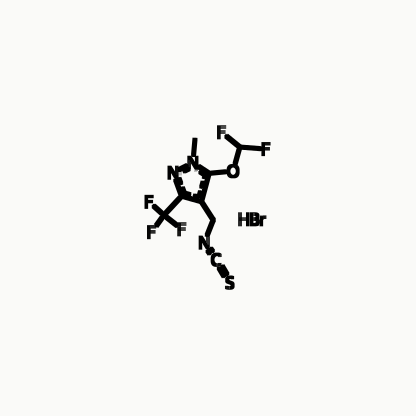 Br.Cn1nc(C(F)(F)F)c(CN=C=S)c1OC(F)F